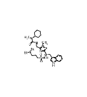 CCN(CC)CCCS(=O)(=O)N[C@H](Cc1c[nH]c2ccccc12)c1nc(CNC(=O)N(C)C2CCCCC2)n(C)n1